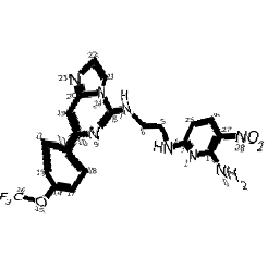 Nc1nc(NCCNc2nc(-c3ccc(OC(F)(F)F)cc3)cc3nccn23)ccc1[N+](=O)[O-]